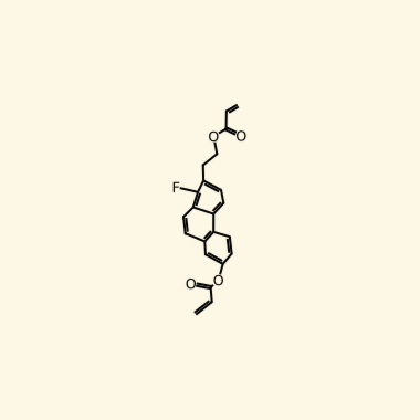 C=CC(=O)OCCc1ccc2c(ccc3cc(OC(=O)C=C)ccc32)c1F